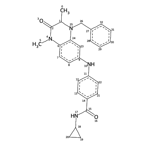 CC1C(=O)N(C)c2ccc(Nc3ccc(C(=O)NC4CC4)cc3)cc2N1Cc1ccccc1